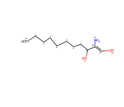 CCCCCCCCCCCCCCCC(O)C(N)=CO